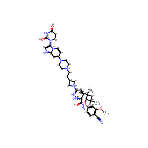 COc1cc(OC2([C@@]3(C(N)=O)C=CC(N4CC(CCN5CCN(c6ccn7c(N8CCC(=O)NC8=O)cnc7c6)CC5)C4)=NN3)C(C)(C)CC2(C)C)ccc1C#N